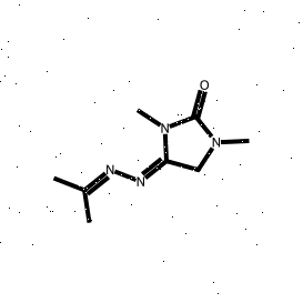 CC(C)=NN=C1CN(C)C(=O)N1C